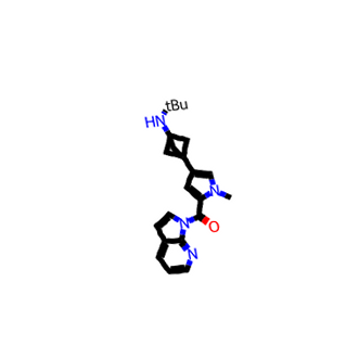 Cn1cc(C23CC(NC(C)(C)C)(C2)C3)cc1C(=O)n1ccc2cccnc21